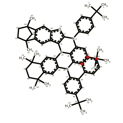 CC(C)(C)c1ccc(N2c3cc(C(C)(C)C)cc4c3B(c3cc5c(cc3N4c3ccc(C(C)(C)C)cc3-c3ccccc3)C(C)(C)CCC5(C)C)c3c2oc2cc4c(cc32)C2(C)CCC4(C)C2)cc1